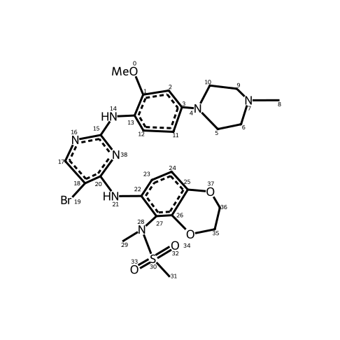 COc1cc(N2CCN(C)CC2)ccc1Nc1ncc(Br)c(Nc2ccc3c(c2N(C)S(C)(=O)=O)OCCO3)n1